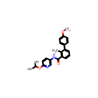 CCCC(CCC)Oc1ccc(NC(=O)c2cccc(-c3ccc(OC(F)(F)F)cc3)c2C)cn1